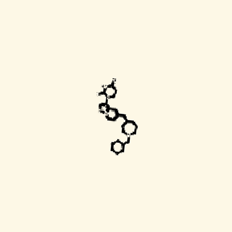 O=C1CCN(c2cnn3ccc(CC4CCCN(CC5CCCCC5)CC4)cc23)C(=O)N1